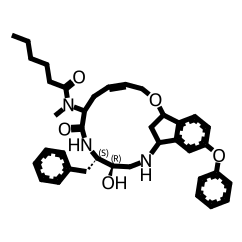 CCCCCC(=O)N(C)C1CC=CCOC2CC(NC[C@@H](O)[C@H](Cc3ccccc3)NC1=O)c1cc(Oc3ccccc3)ccc12